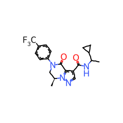 CC(NC(=O)c1cnn2c1C(=O)N(c1ccc(C(F)(F)F)cc1)C[C@@H]2C)C1CC1